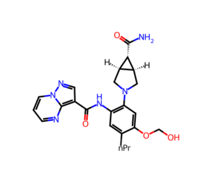 CCCc1cc(NC(=O)c2cnn3cccnc23)c(N2C[C@@H]3[C@H](C2)[C@H]3C(N)=O)cc1OCO